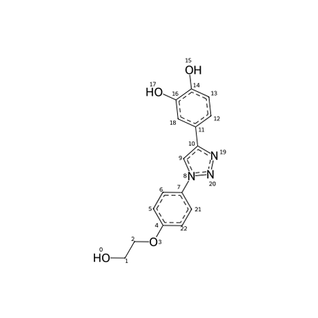 OCCOc1ccc(-n2cc(-c3ccc(O)c(O)c3)nn2)cc1